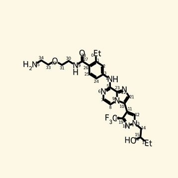 CCc1cc(Nc2nccn3c(-c4cn(CC(O)CC)nc4C(F)(F)F)cnc23)ccc1C(=O)NCCOCCN